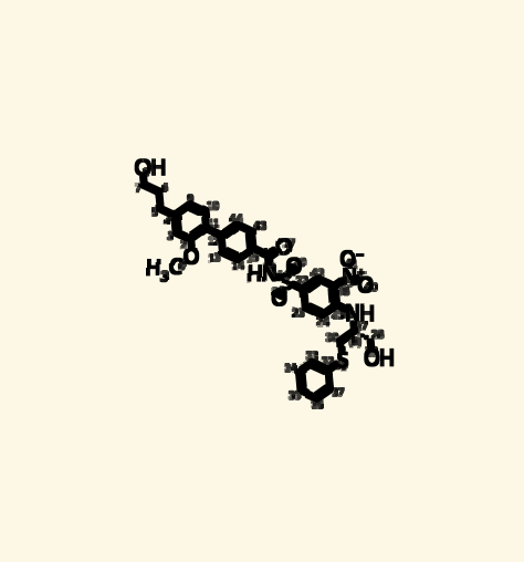 COc1cc(CCCO)ccc1-c1ccc(C(=O)NS(=O)(=O)c2ccc(N[C@H](CO)CSc3ccccc3)c([N+](=O)[O-])c2)cc1